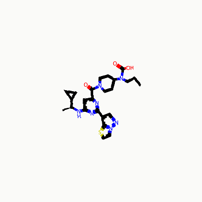 CCCN(C(=O)O)C1CCN(C(=O)c2cc(N[C@@H](C)C3CC3)nc(-c3cnn4ccsc34)n2)CC1